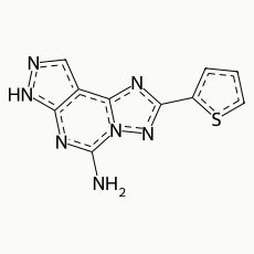 Nc1nc2[nH]ncc2c2nc(-c3cccs3)nn12